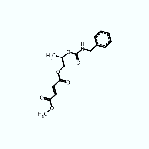 COC(=O)/C=C/C(=O)OC[C@@H](C)OC(=O)NCc1ccccc1